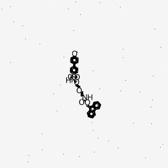 COc1ccc(-c2ccc(S(=O)(=O)NOCCOCCNC(=O)OCC3c4ccccc4-c4ccccc43)cc2)cc1